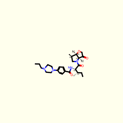 CCCN1CCN(c2ccc(C(=O)N[C@H](C(=O)N3C[C@@H](C)[C@H]4OCC(=O)[C@H]43)[C@@H](C)CC)cc2)CC1